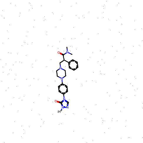 CC(C)n1ncn(-c2ccc(N3CCN(CC(C(=O)N(C)C)c4ccccc4)CC3)cc2)c1=O